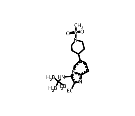 BC(B)(B)Nc1c(CC)nc2ccc(C3CCN(S(C)(=O)=O)CC3)cn12